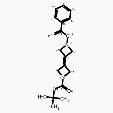 CC(C)(C)OC(=O)N1CC(=C2CN(OC(=O)c3ccccc3)C2)C1